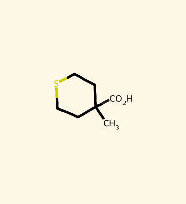 CC1(C(=O)O)CCSCC1